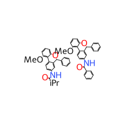 COc1cccc2c1-c1ccc(NC(=O)C(C)C)cc1C(c1ccccc1)O2.COc1cccc2c1-c1ccc(NC(=O)c3ccccc3)cc1C(c1ccccc1)O2